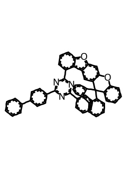 c1ccc(-c2ccc(-c3nc(-c4ccccc4)nc(-c4cccc5oc6cc7c(cc6c45)C4(c5ccccc5O7)c5ccccc5-c5ccccc54)n3)cc2)cc1